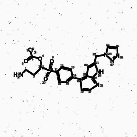 NCCN(OC(=O)C(F)(F)F)S(=O)(=O)c1ccc(-c2ccnc3[nH]c(Cn4ccnn4)cc23)cc1